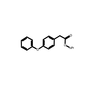 CCCOC(=O)Cc1ccc(Oc2ccccc2)cc1